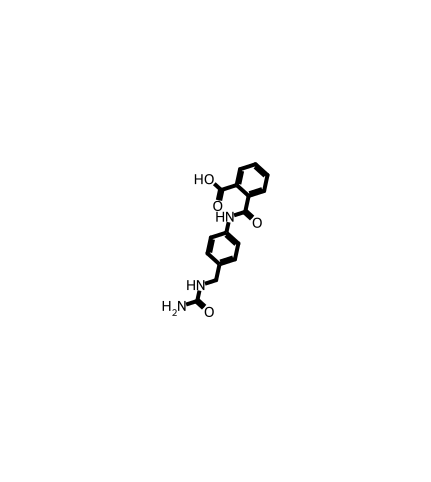 NC(=O)NCc1ccc(NC(=O)c2ccccc2C(=O)O)cc1